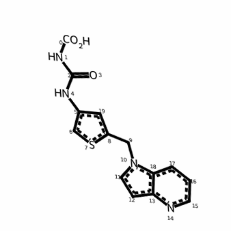 O=C(O)NC(=O)Nc1csc(Cn2ccc3ncccc32)c1